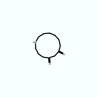 O=C1CCCCCCNCCCC(=O)C1